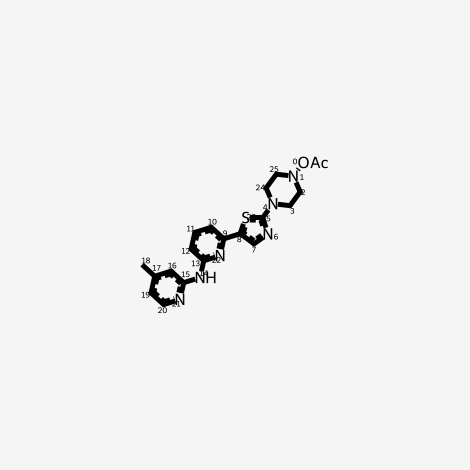 CC(=O)ON1CCN(c2ncc(-c3cccc(Nc4cc(C)ccn4)n3)s2)CC1